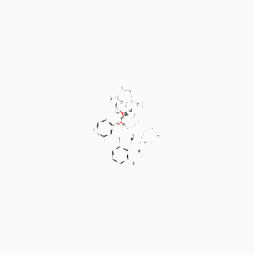 Cc1cccc(Cl)c1S(=O)(=O)N1CCC[C@H]1CCCS(=O)(=O)N1[C@@H]2CC[C@H]1C[C@H](Oc1ccncc1)C2